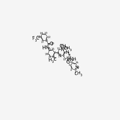 Cc1ccc(N[N+]2([O-])C=NC3=C(C2)N=C(c2cc(NC(=O)c4cccc(C(F)(F)F)c4)ccc2C)C[N+]3(C)C)cn1